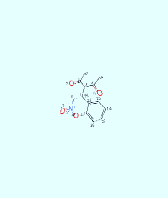 CC(=O)C(C(C)=O)[C@@H](C[N+](=O)[O-])c1ccccc1